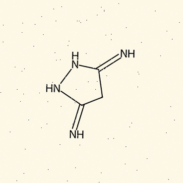 N=C1CC(=N)NN1